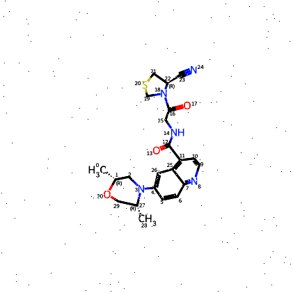 C[C@@H]1CN(c2ccc3nccc(C(=O)NCC(=O)N4CSC[C@H]4C#N)c3c2)[C@H](C)CO1